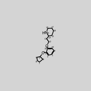 c1ccc(OC2CCCC2)c(OCCC2CCCCN2)c1